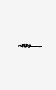 CCCCCCCCCCCCCC(=O)OC1CC[C@H]2[C@@H]3CCC4=CC(=O)CC[C@]4(C)[C@H]3CC[C@]12C